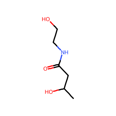 CC(O)CC(=O)NCCO